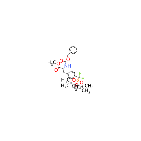 COC(=O)C(Cc1ccc(C(F)(F)P(=O)(OC(C)(C)C)OC(C)(C)C)cc1)NC(=O)OCc1ccccc1